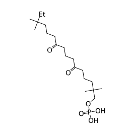 CCC(C)(C)CCCC(=O)CCCC(=O)CCCC(C)(C)COP(=O)(O)O